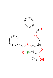 C[C@@]1(F)C(O)O[C@H](COC(=O)c2ccccc2)[C@H]1OC(=O)c1ccccc1